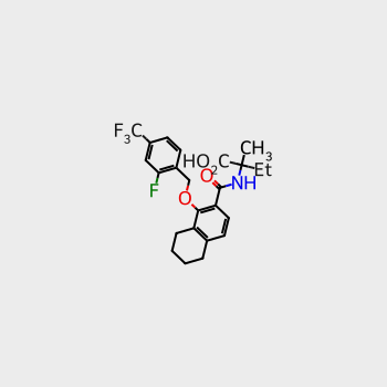 CCC(C)(NC(=O)c1ccc2c(c1OCc1ccc(C(F)(F)F)cc1F)CCCC2)C(=O)O